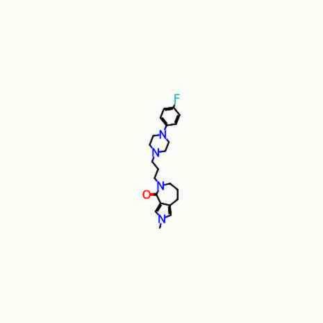 Cn1cc2c(c1)C(=O)N(CCCN1CCN(c3ccc(F)cc3)CC1)CCC2